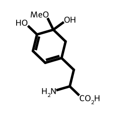 COC1(O)CC(CC(N)C(=O)O)=CC=C1O